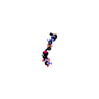 O=C1CCC(N2C(=O)c3cc(F)c(C45CC6CC4C(CN(Cc4cccc(S(=O)(=O)N7CCC(Nc8ncc9ccc(=O)n(C%10CCCC%10)c9n8)CC7)c4)C6)C5)cc3C2=O)C(=O)N1